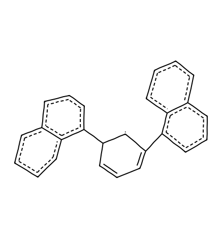 [CH]1C(c2cccc3ccccc23)=CC=CC1c1cccc2ccccc12